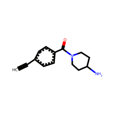 C#Cc1ccc(C(=O)N2CCC(N)CC2)cc1